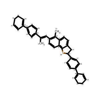 C/C(=C\c1ccc2c3c(ccc2c1C)CC(c1ccc(C2=CCCC=C2)cc1)S3)c1ccc(C2=CCCC=C2)cc1